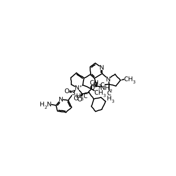 C[C@@H]1CN(c2nccc(C3=CCC[N+](C(=O)CC4CCCCC4)(S(=O)(=O)c4cccc(N)n4)C3C(C)(C)C)c2C(N)=O)C(C)(C)C1